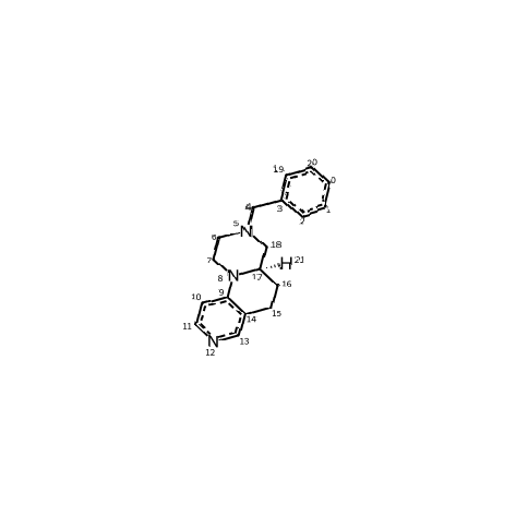 c1ccc(CN2CCN3c4ccncc4CC[C@@H]3C2)cc1